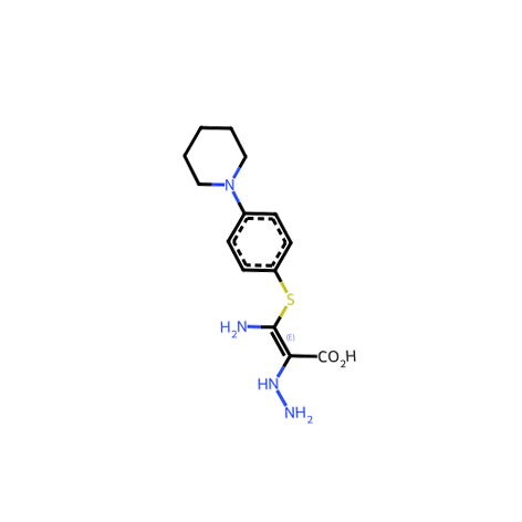 NN/C(C(=O)O)=C(\N)Sc1ccc(N2CCCCC2)cc1